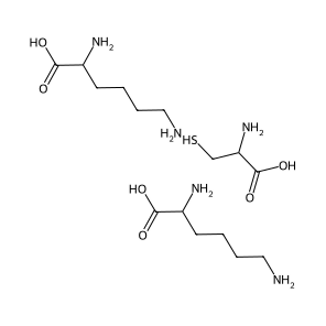 NC(CS)C(=O)O.NCCCCC(N)C(=O)O.NCCCCC(N)C(=O)O